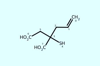 C=CCC(S)(CC(=O)O)C(=O)O